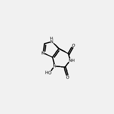 O=c1[nH]c(=O)n(O)c2nc[nH]c12